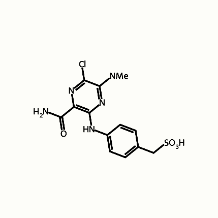 CNc1nc(Nc2ccc(CS(=O)(=O)O)cc2)c(C(N)=O)nc1Cl